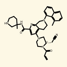 C=CC(=O)N1CCN(c2cc(C(=O)NC3(C)CCCNC3)nc3c2CCN(c2cccc4cccc(C)c24)C3)C[C@@H]1CC#N